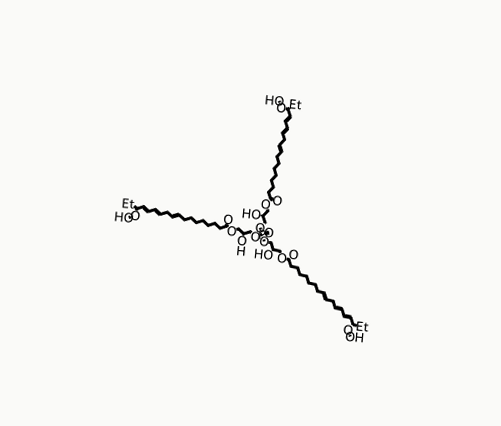 CCC(/C=C/C=C/C/C=C/CCCCCCCC(=O)OC[C@H](O)COP(=O)(OC[C@@H](O)COC(=O)CCCCCCC/C=C/C/C=C/C=C/C(CC)OO)OC[C@@H](O)COC(=O)CCCCCCC/C=C/C/C=C/C=C/C(CC)OO)OO